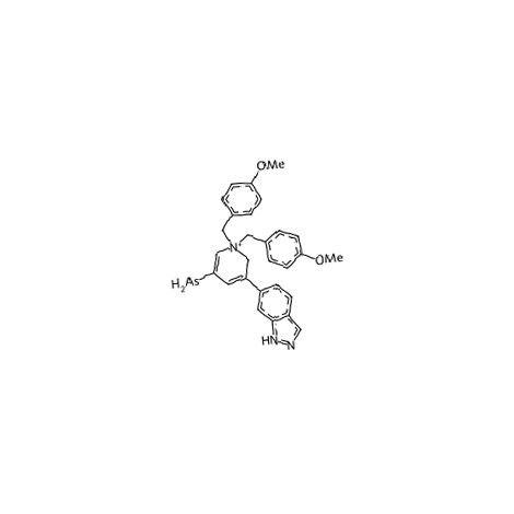 COc1ccc(C[N+]2(Cc3ccc(OC)cc3)C=C([AsH2])C=C(c3ccc4cn[nH]c4c3)C2)cc1